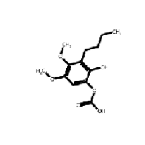 CCCCc1c(O)c(OC(=O)O)cc(OC)c1OC